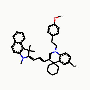 CC(C)Oc1ccc(CCN2C=C(/C=C/C=C3/N(C)c4ccc5ccccc5c4C3(C)C)C3(CCCCC3)c3cc([N+](=O)[O-])ccc32)cc1